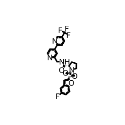 O=C(NCc1cc(-c2ccc(C(F)(F)F)cn2)ccn1)[C@@H]1CCCN1S(=O)(=O)c1cc2cc(F)ccc2o1